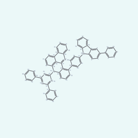 c1ccc(-c2ccc3c(c2)c2ccccc2n3-c2ccc(-c3cccc4c3-c3nc5ccccc5c5cccc(c35)N4c3nc(-c4ccccc4)nc(-c4ccccc4)n3)cc2)cc1